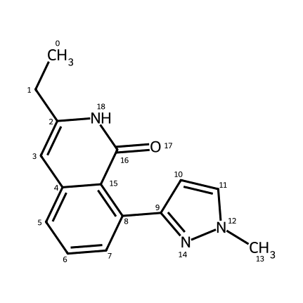 CCc1cc2cccc(-c3ccn(C)n3)c2c(=O)[nH]1